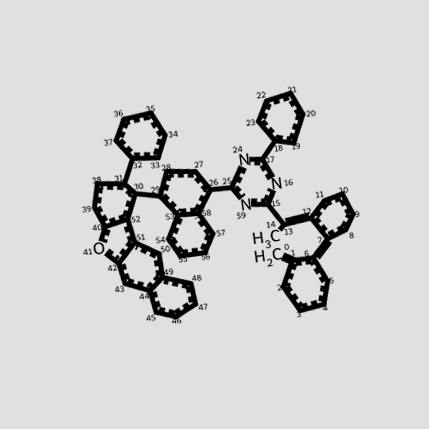 C=c1cccc/c1=c1\cccc\c1=C(\C)c1nc(-c2ccccc2)nc(-c2ccc(-c3c(-c4ccccc4)ccc4oc5cc6ccccc6cc5c34)c3ccccc23)n1